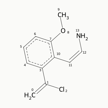 C=C(Cl)c1cccc(OC)c1/C=C\N